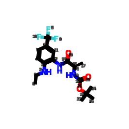 CCNc1ccc(C(F)(F)F)cc1NC(=O)[C@@H](C)NC(=O)OC(C)(C)C